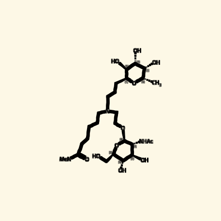 CNC(=O)CCCCCN(CCC[C@@H]1O[C@@H](C)[C@@H](O)[C@@H](O)[C@@H]1O)CCO[C@@H]1O[C@H](CO)[C@@H](O)[C@H](O)[C@H]1NC(C)=O